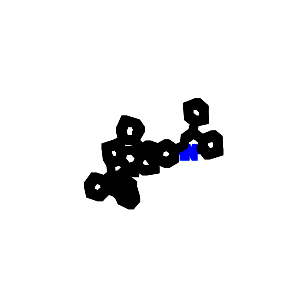 CC12C=CC=CC13Cc1c(ccc4c1C2(c1ccccc1)c1c-4c2ccccc2c2ccccc12)-c1ccccc1C3Cc1cccc(C2C=C(c3ccccc3)c3ccccc3N2)c1